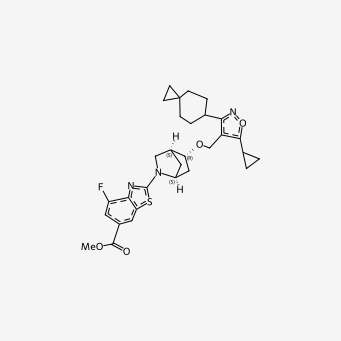 COC(=O)c1cc(F)c2nc(N3C[C@@H]4C[C@H]3C[C@H]4OCc3c(C4CCC5(CC4)CC5)noc3C3CC3)sc2c1